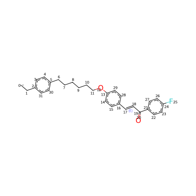 [CH2]Cc1ccc(CCCCCCOc2ccc(/C=C/C(=O)c3ccc(F)cc3)cc2)cc1